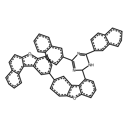 c1ccc2cc(C3=NC(c4cccc5oc6ccc(-c7ccc8oc9ccc%10ccccc%10c9c8c7)cc6c45)NC(c4ccc5ccccc5c4)=N3)ccc2c1